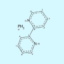 P.c1ccc(-c2ccccn2)nc1